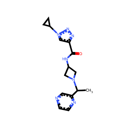 CC(c1cnccn1)N1CC(NC(=O)c2cn(C3CC3)nn2)C1